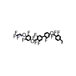 CCc1ccc(C(F)(F)Oc2ccc(-c3cc(F)c(C(F)(F)Oc4cc(F)c(O/C=C/C(F)(F)F)c(F)c4)c(F)c3)c(F)c2)c(F)c1